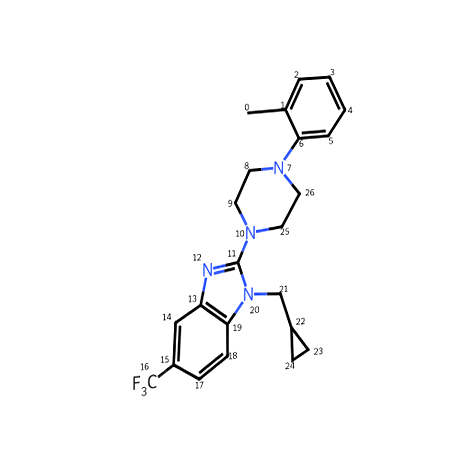 Cc1ccccc1N1CCN(c2nc3cc(C(F)(F)F)ccc3n2CC2CC2)CC1